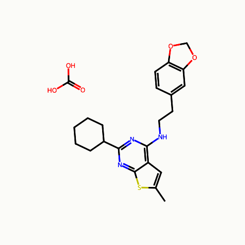 Cc1cc2c(NCCc3ccc4c(c3)OCO4)nc(C3CCCCC3)nc2s1.O=C(O)O